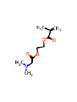 C=C(C)C(=O)OCCOC(=O)CN(C)C